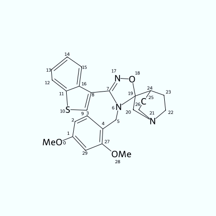 COc1ccc(CN2C(c3csc4ccccc34)=NOC23CN2CCC3CC2)c(OC)c1